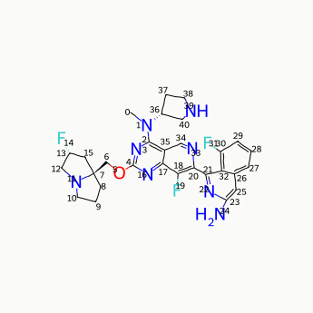 CN(c1nc(OC[C@@]23CCCN2C[C@H](F)C3)nc2c(F)c(-c3nc(N)cc4cccc(F)c34)ncc12)[C@@H]1CCNC1